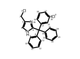 Cl.ClCc1c[nH]c(C(c2ccccc2)(c2ccccc2)c2ccccc2)n1